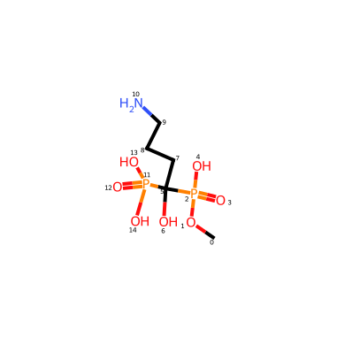 COP(=O)(O)C(O)(CCCN)P(=O)(O)O